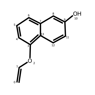 C=COc1cccc2cc(O)ccc12